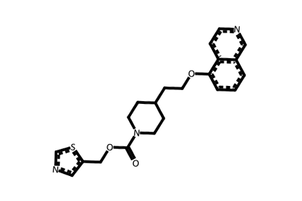 O=C(OCc1cncs1)N1CCC(CCOc2cccc3cnccc23)CC1